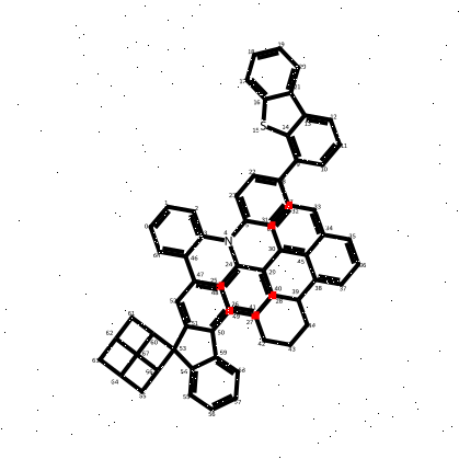 c1ccc(N(c2ccc(-c3cccc4c3sc3ccccc34)cc2)c2ccccc2-c2cccc3cccc(C4CCCCC4)c23)c(-c2ccc3c(c2)C2(c4ccccc4-3)C3CC4CC5CC2C453)c1